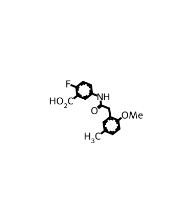 COc1ccc(C)cc1CC(=O)Nc1ccc(F)c(C(=O)O)c1